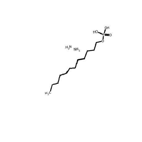 CCCCCCCCCCCCOP(=O)(O)O.N.N